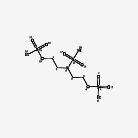 CCS(=O)(=O)OCCN(CCOS(=O)(=O)CC)S(=O)(=O)CC